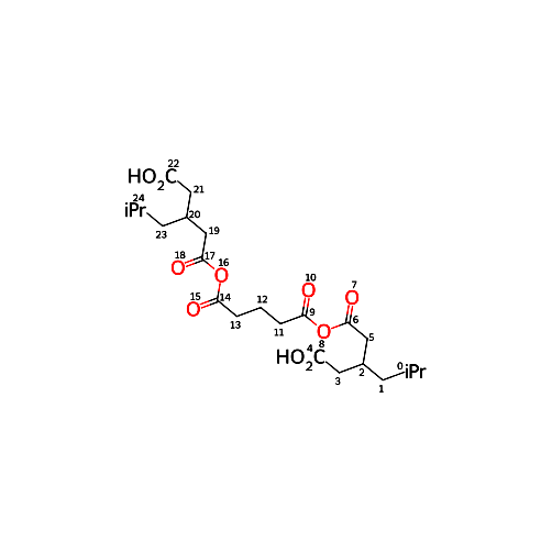 CC(C)CC(CC(=O)O)CC(=O)OC(=O)CCCC(=O)OC(=O)CC(CC(=O)O)CC(C)C